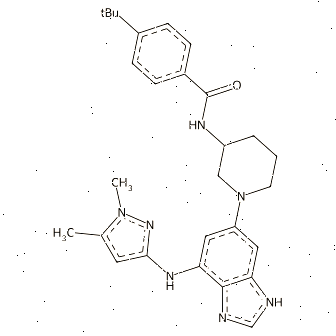 Cc1cc(Nc2cc(N3CCCC(NC(=O)c4ccc(C(C)(C)C)cc4)C3)cc3[nH]cnc23)nn1C